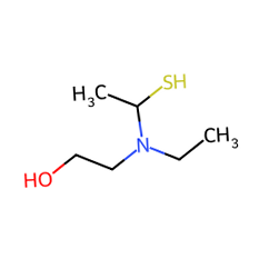 CCN(CCO)C(C)S